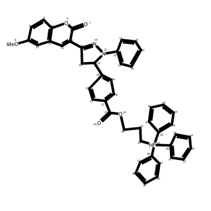 COc1ccc2oc(=O)c(C3=NN(c4ccccc4)C(c4ccc(C(=O)OCCC[PH](c5ccccc5)(c5ccccc5)c5ccccc5)cc4)C3)cc2c1